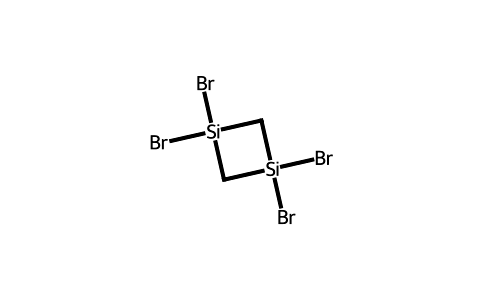 Br[Si]1(Br)C[Si](Br)(Br)C1